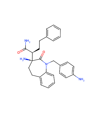 NC(=O)[C@@H](CCc1ccccc1)[C@@]1(N)CCc2ccccc2N(Cc2ccc(N)cc2)C1=O